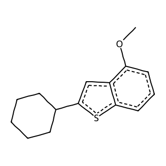 COc1cccc2sc(C3CCCCC3)cc12